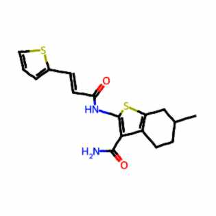 CC1CCc2c(sc(NC(=O)/C=C/c3cccs3)c2C(N)=O)C1